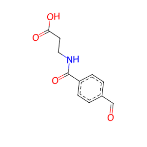 O=Cc1ccc(C(=O)NCCC(=O)O)cc1